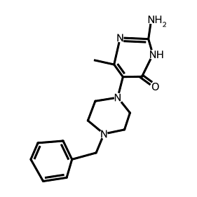 Cc1nc(N)[nH]c(=O)c1N1CCN(Cc2ccccc2)CC1